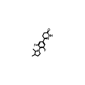 CC1CCN(c2c(F)cc(C3=NNC(=O)CC3)cc2F)C1C